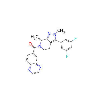 C[C@H]1c2nn(C)c(-c3cc(F)cc(F)c3)c2CCN1C(=O)c1ccc2nccnc2c1